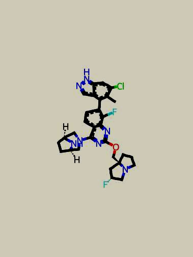 Cc1c(Cl)cc2[nH]ncc2c1-c1ccc2c(N3C[C@H]4CC[C@@H](C3)N4)nc(OC[C@@]34CCCN3C[C@H](F)C4)nc2c1F